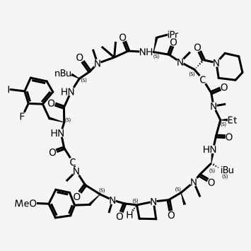 CCCC[C@@H]1NC(=O)[C@H](Cc2cccc(I)c2F)NC(=O)CN(C)C(=O)[C@H](Cc2ccc(OC)cc2)N(C)C(=O)[C@@H]2CCN2C(=O)[C@H](C)N(C)C(=O)[C@H]([C@@H](C)CC)NC(=O)[C@H](CC)N(C)C(=O)C[C@@H](C(=O)N2CCCCC2)N(C)C(=O)[C@H](CC(C)C)NC(=O)C(C)(C)N(C)C1=O